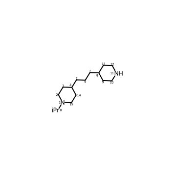 CC(C)N1CCC(CCCC2CCNCC2)CC1